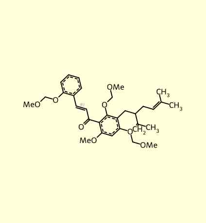 C=C(C)C(CC=C(C)C)Cc1c(OCOC)cc(OC)c(C(=O)/C=C/c2ccccc2OCOC)c1OCOC